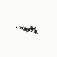 CN1CC[C@@H](Nc2cccc3c(CC(F)(F)F)c(-c4noc(CNC(=O)c5cnn(C(C)(C)C)c5)n4)nn23)[C@@H](F)C1